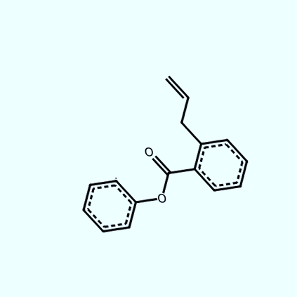 C=CCc1ccccc1C(=O)Oc1[c]cccc1